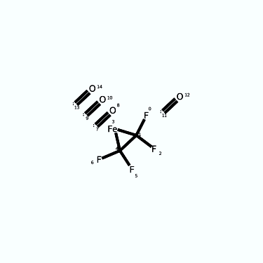 F[C]1(F)[Fe][C]1(F)F.[C]=O.[C]=O.[C]=O.[C]=O